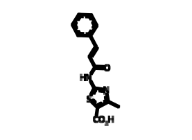 Cc1nc(NC(=O)C=Cc2ccccc2)sc1C(=O)O